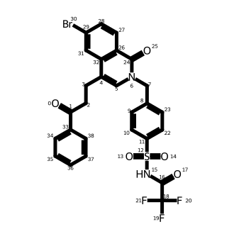 O=C(CCc1cn(Cc2ccc(S(=O)(=O)NC(=O)C(F)(F)F)cc2)c(=O)c2ccc(Br)cc12)c1ccccc1